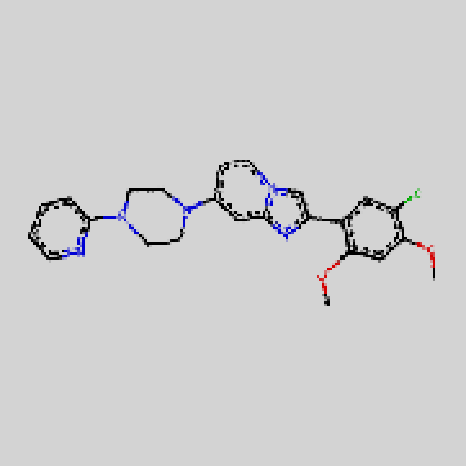 COc1cc(OC)c(-c2cn3ccc(N4CCN(c5ccccn5)CC4)cc3n2)cc1Cl